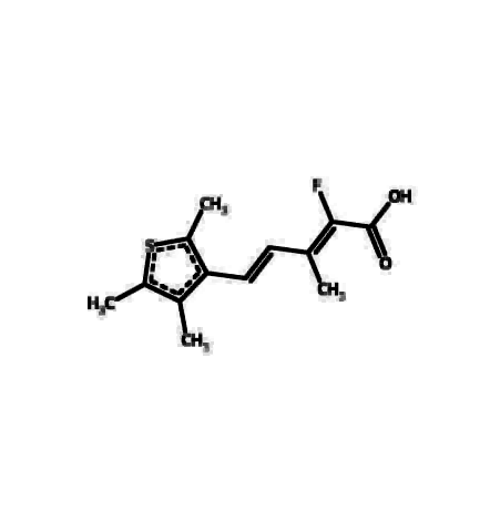 CC(/C=C/c1c(C)sc(C)c1C)=C(/F)C(=O)O